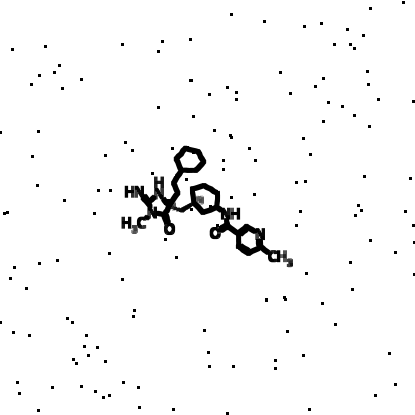 Cc1ccc(C(=O)NC2CCC[C@H](C[C@@]3(CCC4CCCCC4)NC(=N)N(C)C3=O)C2)cn1